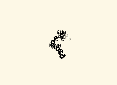 CCN(CC)[C@H](CS(C)(=O)=O)c1ccc(-c2ccc3ncnc(Nc4ccc5c(cnn5Cc5cccc(F)c5)c4)c3c2)o1